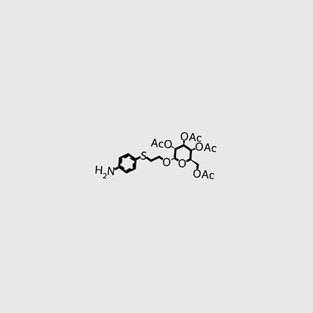 CC(=O)OC[C@H]1O[C@H](OCCSc2ccc(N)cc2)[C@H](OC(C)=O)[C@@H](OC(C)=O)[C@H]1OC(C)=O